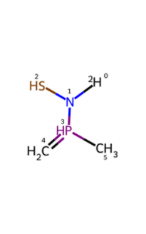 [2H]N(S)[PH](=C)C